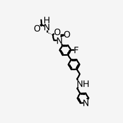 CC(=O)NC[C@H]1CN(c2ccc(-c3ccc(CCNCc4ccncc4)cc3)c(F)c2)C(=O)O1